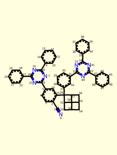 N#Cc1ccc(-c2nc(-c3ccccc3)nc(-c3ccccc3)n2)cc1C1(c2cccc(-c3nc(-c4ccccc4)nc(-c4ccccc4)n3)c2)C2CC3CC4CC1C342